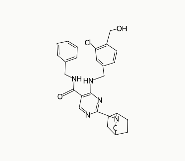 O=C(NCc1ccccc1)c1cnc(N2CC3CCC2CC3)nc1NCc1ccc(CO)c(Cl)c1